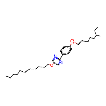 CCCCCCCCCCCOc1cnc(-c2ccc(OCCCCCC(C)CC)cc2)nc1